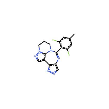 Cc1cc(F)c(C2=Nc3cn[nH]c3-c3cnn4c3N2CCC4)c(F)c1